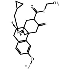 CCOC(=O)C1C[C@H]2[C@H]3Cc4ccc(OC)cc4[C@@]2(CCN3CC2CC2)CC1=O